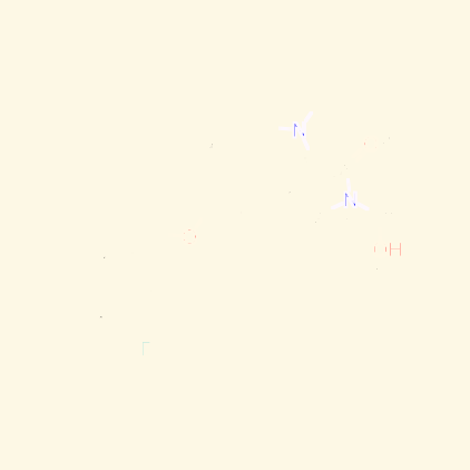 CN(Cc1ccc(OCc2cccc(F)c2)cc1)C1CCN(CO)C1=O